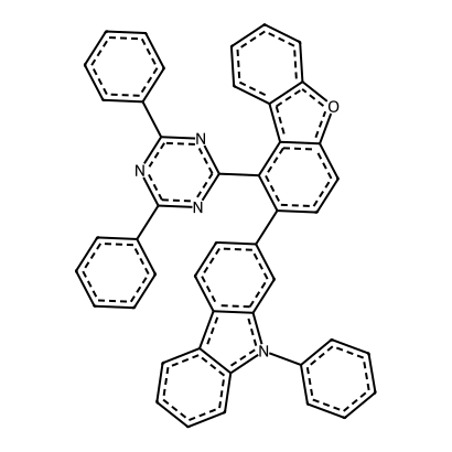 c1ccc(-c2nc(-c3ccccc3)nc(-c3c(-c4ccc5c6ccccc6n(-c6ccccc6)c5c4)ccc4oc5ccccc5c34)n2)cc1